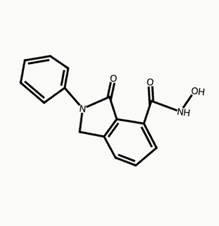 O=C(NO)c1cccc2c1C(=O)N(c1ccccc1)C2